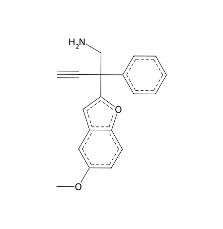 C#CC(CN)(c1ccccc1)c1cc2cc(OC)ccc2o1